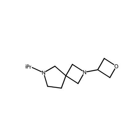 CC(C)N1CCC2(C1)CN(C1COC1)C2